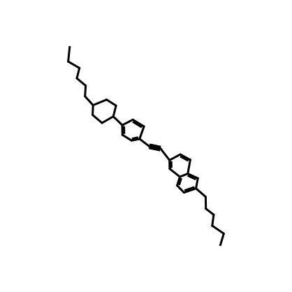 CCCCCCc1ccc2cc(C#Cc3ccc(C4CCC(CCCCCC)CC4)cc3)ccc2c1